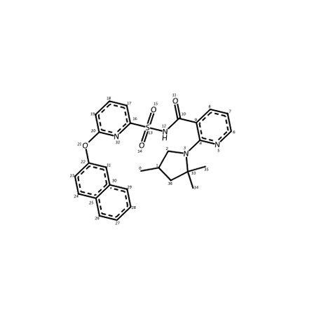 CC1CN(c2ncccc2C(=O)NS(=O)(=O)c2cccc(Oc3ccc4ccccc4c3)n2)C(C)(C)C1